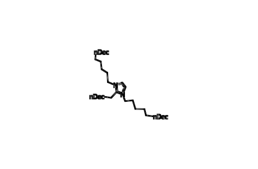 CCCCCCCCCCCCCCCn1cc[n+](CCCCCCCCCCCCCCC)c1CCCCCCCCCCC